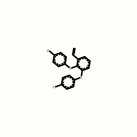 C=Cc1cccc(Sc2ccc(Cl)cc2)c1Sc1ccc(Cl)cc1